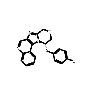 Oc1ccc(C[C@H]2COCc3nc4cnc5ccccc5c4n32)cc1